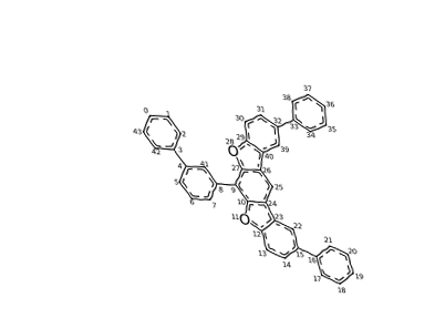 c1ccc(-c2cccc(-c3c4oc5ccc(-c6ccccc6)cc5c4cc4c3oc3ccc(-c5ccccc5)cc34)c2)cc1